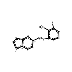 Cc1c(F)cccc1CNc1ccc2sccc2c1